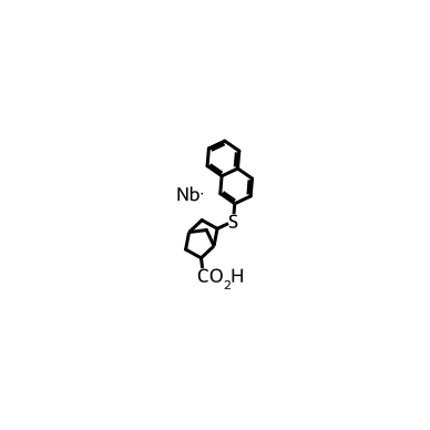 O=C(O)C1CC2CC(Sc3ccc4ccccc4c3)C1C2.[Nb]